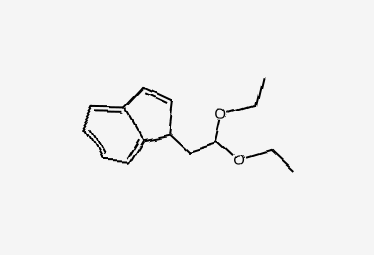 CCOC(CC1C=Cc2ccccc21)OCC